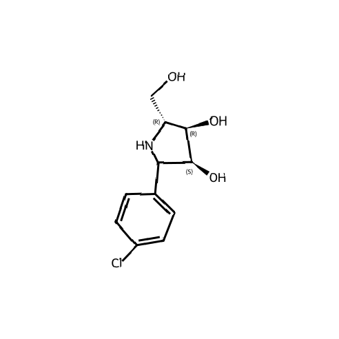 OC[C@H]1NC(c2ccc(Cl)cc2)[C@H](O)[C@@H]1O